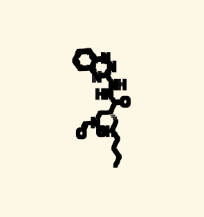 CCCCCC[C@H](CN(O)C=O)C(=O)NNc1nnc2ccccc2n1